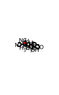 C[C@]12C=CC(=O)C=C1CC[C@H]1[C@@H]3C[C@H]4OC(c5ccncc5)O[C@@]4(C(=O)CC#N)[C@@]3(C)C[C@H](O)[C@@]12F